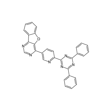 c1ccc(-c2nc(-c3ccccc3)nc(-c3ccc(-c4ncnc5c4oc4ccccc45)cn3)n2)cc1